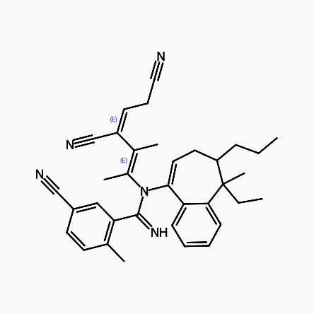 CCCC1CC=C(N(C(=N)c2cc(C#N)ccc2C)/C(C)=C(C)/C(C#N)=C\CC#N)c2ccccc2C1(C)CC